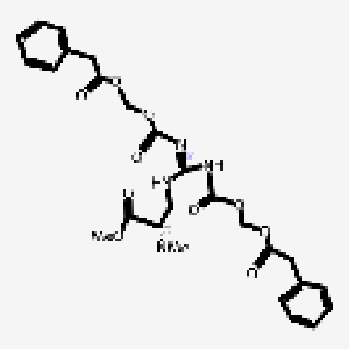 CN[C@@H](CN/C(=N\C(=O)OCOC(=O)Cc1ccccc1)NC(=O)OCOC(=O)Cc1ccccc1)C(=O)OC